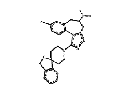 CN(C)C1Cc2cc(Cl)ccc2-n2c(nnc2N2CCC3(CC2)OCc2ccccc23)C1